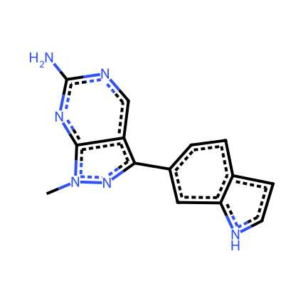 Cn1nc(-c2ccc3cc[nH]c3c2)c2cnc(N)nc21